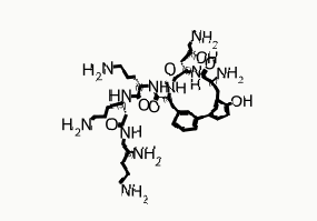 NCCC[C@H](N)CNC(=O)C[C@H](CCCN)NC(=O)[C@H](CCCN)NC(=O)[C@@H]1Cc2cccc(c2)-c2ccc(O)c(c2)C[C@H](N)C(=O)N[C@@H](C[C@@H](O)CN)C(=O)N1